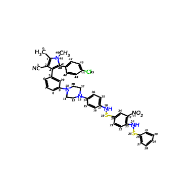 Cc1c(C#N)c(-c2cccc(N3CCN(c4ccc(NSc5ccc(NSc6ccccc6)c([N+](=O)[O-])c5)cc4)CC3)c2)c(-c2ccc(Cl)cc2)n1C